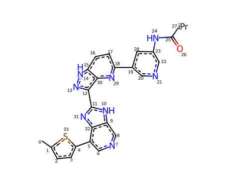 Cc1ccc(-c2cncc3[nH]c(-c4n[nH]c5ccc(-c6cncc(NC(=O)C(C)C)c6)nc45)nc23)s1